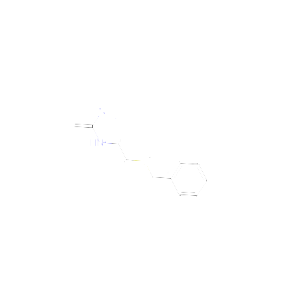 C=C(N)NCCSCc1ccccc1